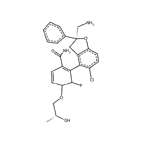 C[C@@H](O)COC1C=CC(C(N)=O)=C(c2c(Cl)ccc3c2C[C@@](CN)(c2ccccc2)O3)C1F